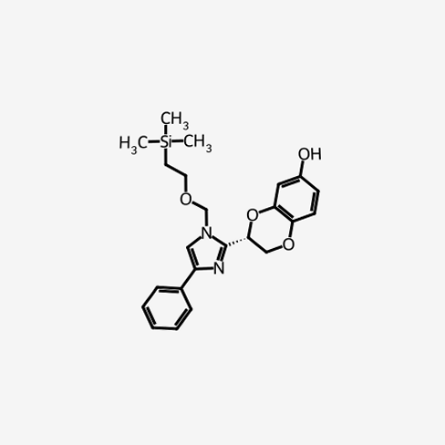 C[Si](C)(C)CCOCn1cc(-c2ccccc2)nc1[C@H]1COc2ccc(O)cc2O1